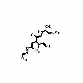 C/C=N/O/C(C)=C/C(NC=N)/C(Cl)=C/N[C@H](C)COC